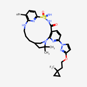 CCCc1ccc2nc1NCCCC1CN(c3nc(-n4ccc(OCCC5(C(F)(F)F)CC5)n4)ccc3C(=O)NS2(=N)=O)C(C)(C)C1